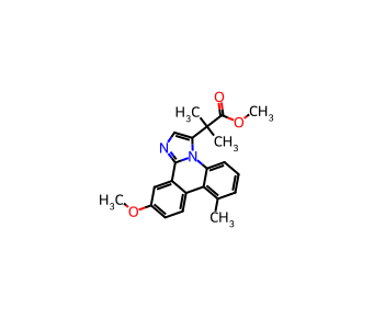 COC(=O)C(C)(C)c1cnc2c3cc(OC)ccc3c3c(C)cccc3n12